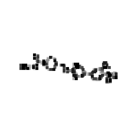 CC(C)(C)OC(=O)N1CCC(COc2ncc(-c3ccc4c(c3)OCS4(=O)=O)cn2)CC1